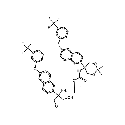 CC(C)(C)OC(=O)NC1(c2ccc3cc(Oc4cccc(C(F)(F)F)c4)ccc3c2)COC(C)(C)OC1.NC(CO)(CO)c1ccc2cc(Oc3cccc(C(F)(F)F)c3)ccc2c1